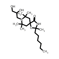 CCCCCCC1(C)NC(=O)C2(CC(C)(C)N(CC(O)CO)C(C)(C)C2)O1